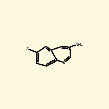 Nc1cnc2ccc(F)cc2c1